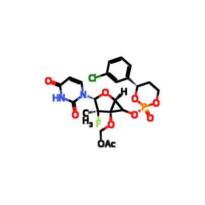 CC(=O)OCO[C@]12C(O[P@@]3(=O)OCC[C@@H](c4cccc(Cl)c4)O3)[C@H]1O[C@@H](n1ccc(=O)[nH]c1=O)[C@]2(C)F